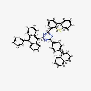 c1ccc(-c2c3ccccc3c(-c3nc(-c4ccc(-c5cccc6ccccc56)cc4)nc(-c4cccc5c4sc4ccccc45)n3)c3ccccc23)cc1